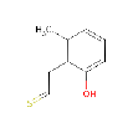 Cc1cccc(O)c1CC=S